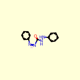 O=C(/N=N\c1ccccc1)NNc1ccccc1